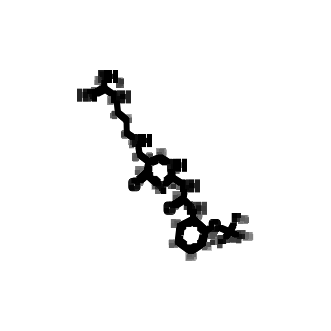 N=C(N)NCCCNCc1c[nH]c(NC(=O)Nc2ccccc2OC(F)(F)F)nc1=O